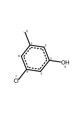 [CH2]c1cc(O)cc(Cl)c1